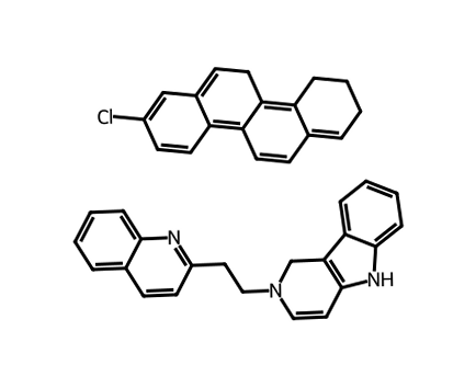 C1=CN(CCc2ccc3ccccc3n2)Cc2c1[nH]c1ccccc21.Clc1ccc2c(c1)=CCc1c3c(ccc1=2)=CCCC3